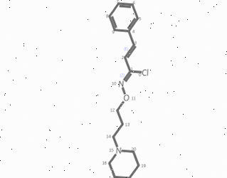 ClC(/C=C/c1ccccc1)=N\OCCCN1CCCCC1